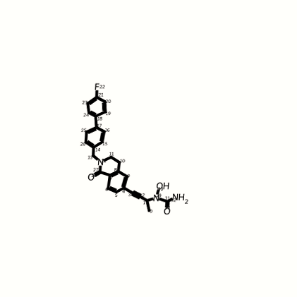 CC(C#Cc1ccc2c(c1)CCN(Cc1ccc(-c3ccc(F)cc3)cc1)C2=O)N(O)C(N)=O